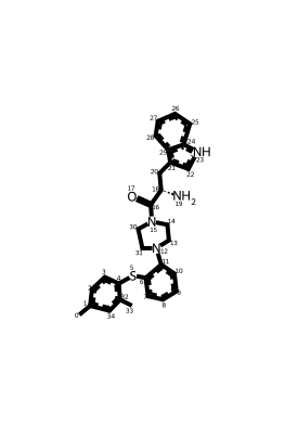 Cc1ccc(Sc2ccccc2N2CCN(C(=O)[C@@H](N)Cc3c[nH]c4ccccc34)CC2)c(C)c1